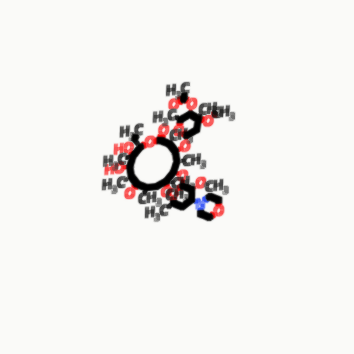 CC[C@H]1OC(=O)[C@H](C)[C@@H](O[C@H]2C[C@@](C)(OC)[C@@H](OC(C)=O)[C@H](C)O2)[C@H](C)[C@@H](O[C@@H]2O[C@H](C)C[C@H](N3CCOCC3)[C@H]2OC)[C@@](C)(OC)C[C@@H](C)C(=O)[C@H](C)[C@@H](O)[C@]1(C)O